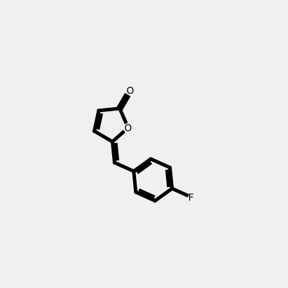 O=C1C=CC(=Cc2ccc(F)cc2)O1